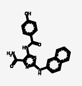 NC(=O)c1nc(Nc2ccc3ccccc3c2)sc1NC(=O)c1ccc(O)cc1